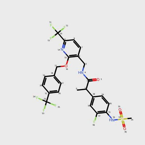 CC(C(=O)NCc1ccc(C(F)(F)F)nc1OCc1ccc(C(F)(F)F)cc1)c1ccc(NS(C)(=O)=O)c(F)c1